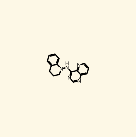 c1ccc2c(c1)CCCN2Nc1ncnc2cccnc12